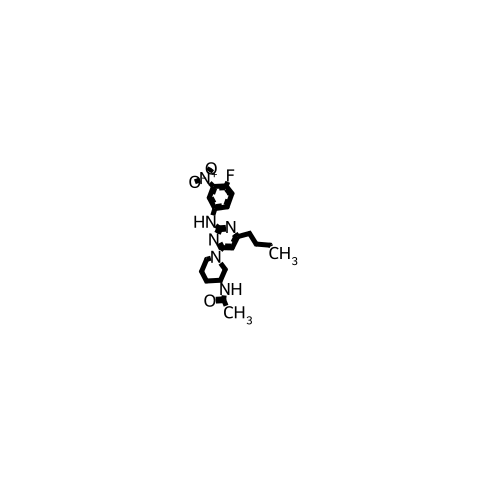 CCCCc1cc(N2CCC[C@@H](NC(C)=O)C2)nc(Nc2ccc(F)c([N+](=O)[O-])c2)n1